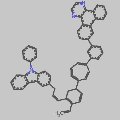 C=CC1=C(/C=C\Cc2ccc3c(c2)c2ccccc2n3-c2ccccc2)CC(C2=C=CC=C(c3cccc(-c4ccc5c(c4)c4ccccc4c4nccnc54)c3)C=C2)C=C1